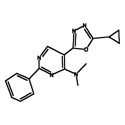 CN(C)c1nc(-c2ccccc2)ncc1-c1nnc(C2CC2)o1